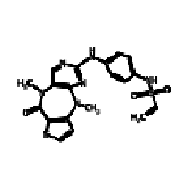 C=CS(=O)(=O)Nc1ccc(Nc2ncc3c(n2)N(C)c2ccsc2C(=O)N3C)cc1